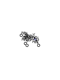 CC(C)CC(NC(=O)[C@@H](Cc1c[nH]cn1)NC(=O)[C@@H](Cc1cccc2ccccc12)NC(=O)OCc1ccccc1)O/[P+]([O-])=C/C(=O)NCc1ccccc1